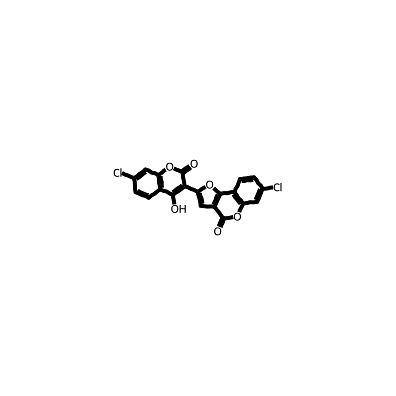 O=c1oc2cc(Cl)ccc2c(O)c1-c1cc2c(=O)oc3cc(Cl)ccc3c2o1